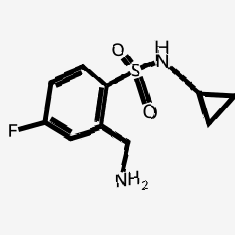 NCc1cc(F)ccc1S(=O)(=O)NC1CC1